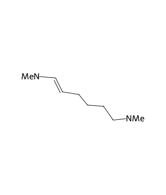 CN/C=C/CCCCNC